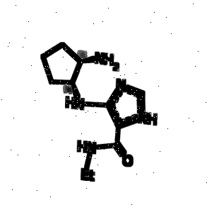 CCNC(=O)c1[nH]cnc1N[C@H]1CCC[C@H]1N